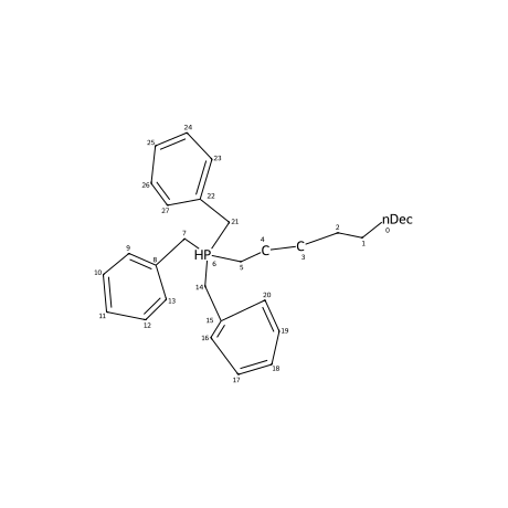 CCCCCCCCCCCCCCC[PH](Cc1ccccc1)(Cc1ccccc1)Cc1ccccc1